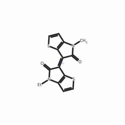 CCN1C(=O)/C(=C2/C(=O)N(C)c3ccsc32)c2sccc21